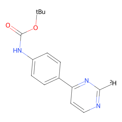 [2H]c1nccc(-c2ccc(NC(=O)OC(C)(C)C)cc2)n1